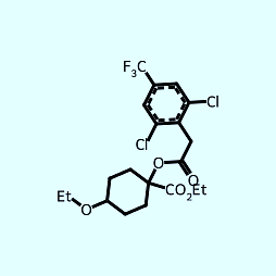 CCOC(=O)C1(OC(=O)Cc2c(Cl)cc(C(F)(F)F)cc2Cl)CCC(OCC)CC1